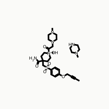 CC#CCOc1ccc(S(=O)(=O)CC2(C(N)=O)CC[N+](O)(C(=O)CN3CCN(C)CC3)CC2)cc1.CN1CCNCC1